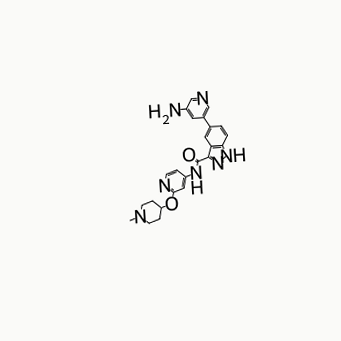 CN1CCC(Oc2cc(NC(=O)c3n[nH]c4ccc(-c5cncc(N)c5)cc34)ccn2)CC1